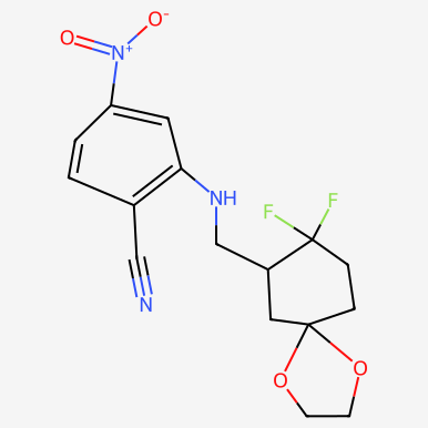 N#Cc1ccc([N+](=O)[O-])cc1NCC1CC2(CCC1(F)F)OCCO2